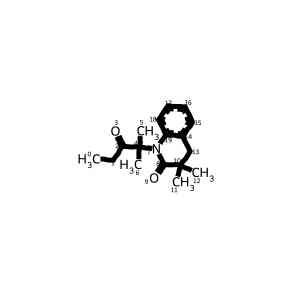 CCC(=O)C(C)(C)N1C(=O)C(C)(C)Cc2ccccc21